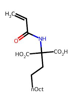 C=CC(=O)NC(CCCCCCCCCC)(C(=O)O)C(=O)O